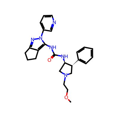 COCCN1C[C@@H](NC(=O)Nc2c3c(nn2-c2cccnc2)CCC3)[C@H](c2ccccc2)C1